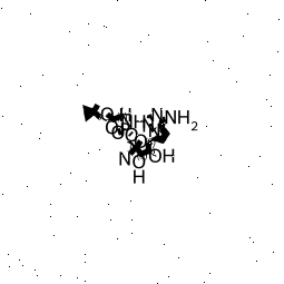 C[C@H](N[PH](=O)OC[C@@]1(C#N)O[C@@H](c2ccc3c(N)ncnn23)[C@H](O)[C@@H]1O)C(=O)OCC1(C)CC1